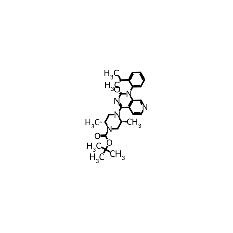 CC(C)c1ccccc1-n1c(=O)nc(N2C[C@@H](C)N(C(=O)OC(C)(C)C)C[C@@H]2C)c2ccncc21